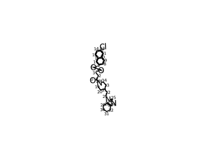 O=C(CCS(=O)(=O)c1ccc2cc(Cl)ccc2c1)N1CCC(CCn2cnc3c2CCCC3)CC1